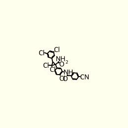 N#Cc1ccc(C(=O)Nc2cc(C3(C(N)=O)C(c4cc(Cl)cc(Cl)c4)C3(Cl)Cl)ccc2Cl)cc1